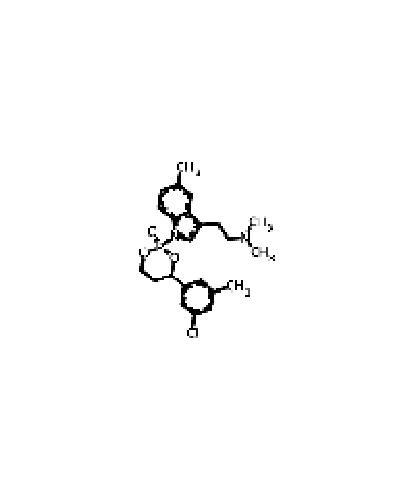 Cc1cc(Cl)cc(C2CCOP(=O)(n3cc(CCN(C)C)c4cc(C)ccc43)O2)c1